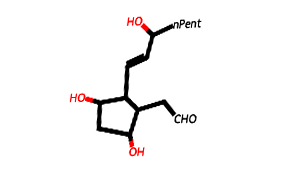 CCCCCC(O)C=CC1C(O)CC(O)C1CC=O